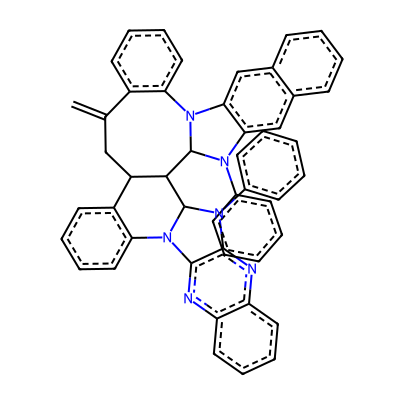 C=C1CC2c3ccccc3N3c4nc5ccccc5nc4N(c4ccccc4)C3C2C2N(c3ccccc3)c3cc4ccccc4cc3N2c2ccccc21